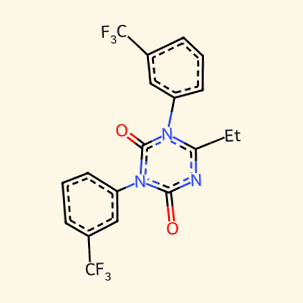 CCc1nc(=O)n(-c2cccc(C(F)(F)F)c2)c(=O)n1-c1cccc(C(F)(F)F)c1